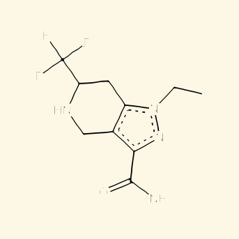 CCn1nc(C(N)=O)c2c1CC(C(F)(F)F)NC2